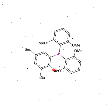 COc1cccc(OC)c1P(c1cc(C(C)(C)C)cc(C(C)(C)C)c1O)c1c(OC)cccc1OC